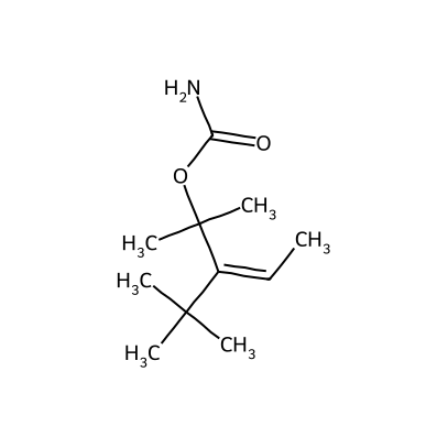 CC=C(C(C)(C)C)C(C)(C)OC(N)=O